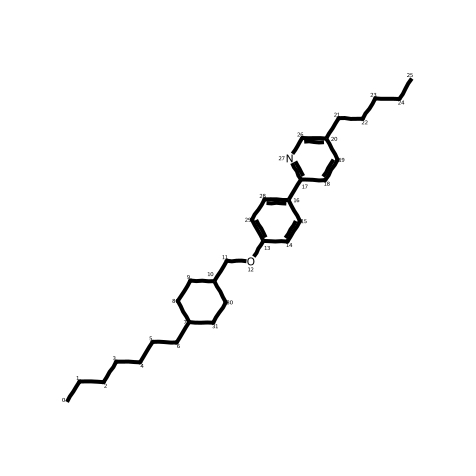 CCCCCCCC1CCC(COc2ccc(-c3ccc(CCCCC)cn3)cc2)CC1